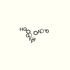 O=CC1CCN(c2ccc([C@H]3c4ccc(O)cc4OC[C@H]3CC(F)(F)F)cc2)CC1